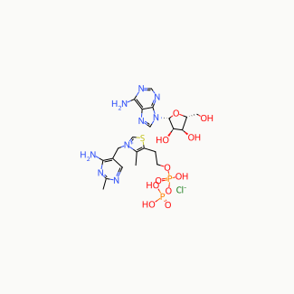 Cc1ncc(C[n+]2csc(CCOP(=O)(O)OP(=O)(O)O)c2C)c(N)n1.Nc1ncnc2c1ncn2[C@@H]1O[C@H](CO)[C@@H](O)[C@H]1O.[Cl-]